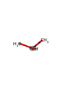 CCCCCCCCCCCCCCCCCCOCC(O)C(O)OCCCCCCCCCCCCCCCCCC